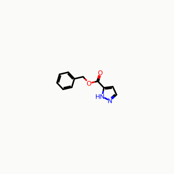 O=C(OCc1ccccc1)c1ccn[nH]1